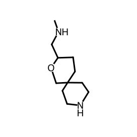 CNCC1CCC2(CCNCC2)CO1